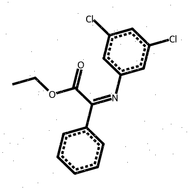 CCOC(=O)C(=Nc1cc(Cl)cc(Cl)c1)c1ccccc1